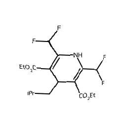 CCOC(=O)C1=C(C(F)F)NC(C(F)F)=C(C(=O)OCC)C1CC(C)C